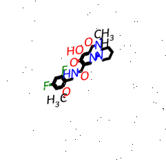 CCN1C(=O)c2c(O)c(=O)c(C(=O)NCc3c(F)cc(F)cc3OC)cn2N2CCCC[C@@H]12